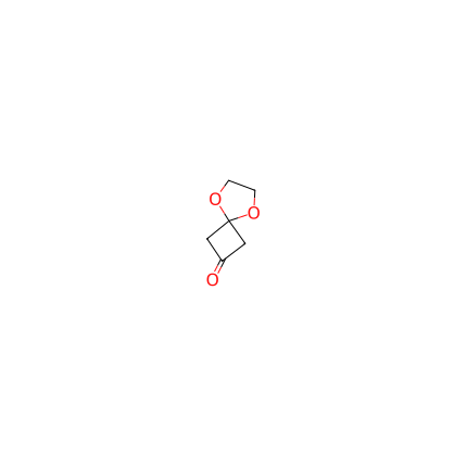 O=C1CC2(C1)OCCO2